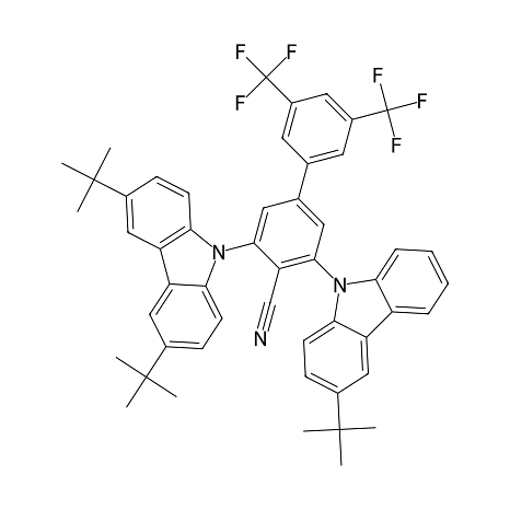 CC(C)(C)c1ccc2c(c1)c1ccccc1n2-c1cc(-c2cc(C(F)(F)F)cc(C(F)(F)F)c2)cc(-n2c3ccc(C(C)(C)C)cc3c3cc(C(C)(C)C)ccc32)c1C#N